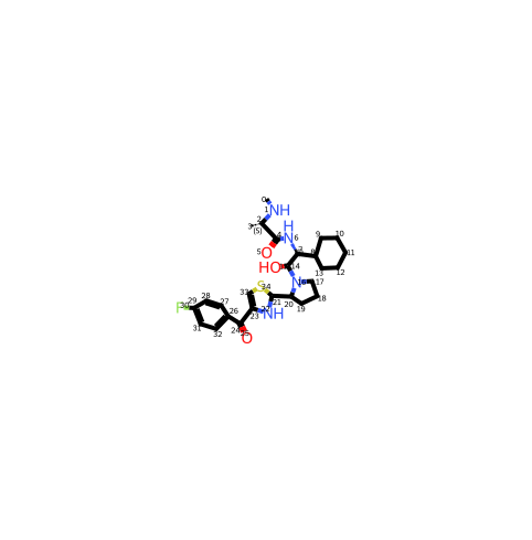 CN[C@@H](C)C(=O)N[C@@H](C1CCCCC1)C(O)N1CCCC1C1NC(C(=O)c2ccc(F)cc2)=CS1